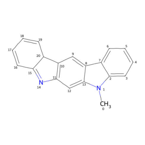 Cn1c2ccccc2c2cc3c(cc21)N=C1C=CC=CC13